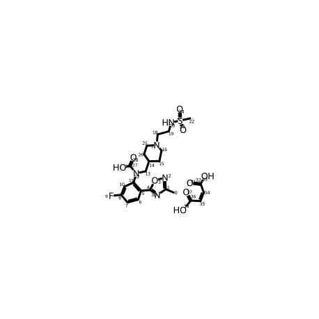 Cc1noc(-c2ccc(F)cc2N(CC2CCN(CCNS(C)(=O)=O)CC2)C(=O)O)n1.O=C(O)/C=C\C(=O)O